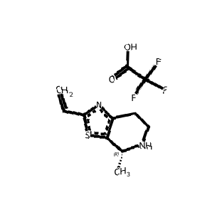 C=Cc1nc2c(s1)[C@@H](C)NCC2.O=C(O)C(F)(F)F